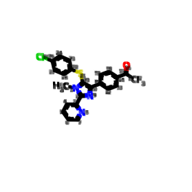 Cn1c(-c2ccccn2)nc(-c2ccc(C(=O)C(F)(F)F)cc2)c1Sc1ccc(Cl)cc1